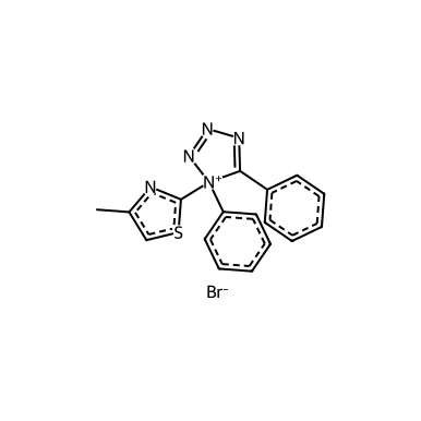 Cc1csc([N+]2(c3ccccc3)N=NN=C2c2ccccc2)n1.[Br-]